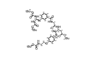 CC(C)(C)OC(=O)C[C@H](NC(=O)CNC(=O)c1cccc(N=C(NC(=O)OC(C)(C)C)NC(=O)OC(C)(C)C)c1)C(=O)Nc1ccc(OCCNC(=O)OC(C)(C)C)cc1